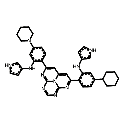 C1=NC2=NC(c3ccc(N4CCCCC4)cc3Nc3cc[nH]c3)=CC3=CC(c4ccc(C5CCCCC5)cc4Nc4cc[nH]c4)=NC(=N1)N32